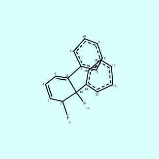 FC1C=CC=C(c2ccccc2)C1(F)c1ccccc1